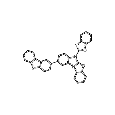 c1ccc2oc(-n3c4ccc(-c5ccc6sc7ccccc7c6c5)cc4n4c5ccccc5nc34)nc2c1